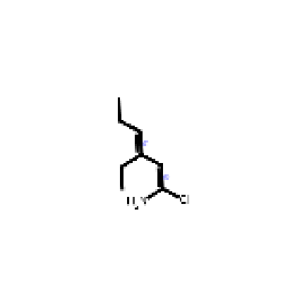 CC/C=C(/C=C(\N)Cl)CC